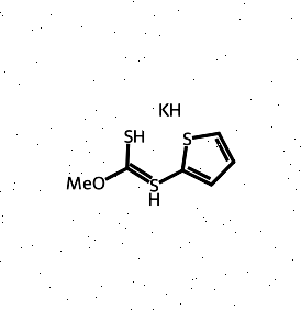 COC(S)=[SH]c1cccs1.[KH]